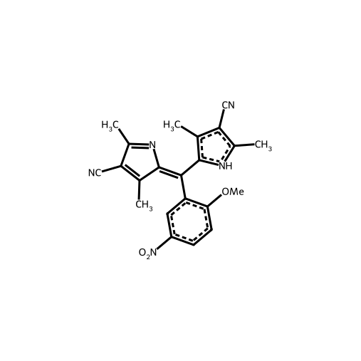 COc1ccc([N+](=O)[O-])cc1/C(=C1/N=C(C)C(C#N)=C1C)c1[nH]c(C)c(C#N)c1C